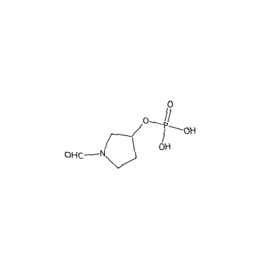 O=CN1CCC(OP(=O)(O)O)C1